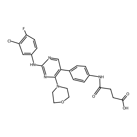 O=C(O)CCC(=O)Nc1ccc(-c2cnc(Nc3ccc(F)c(Cl)c3)nc2N2CCOCC2)cc1